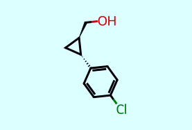 OC[C@@H]1C[C@H]1c1ccc(Cl)cc1